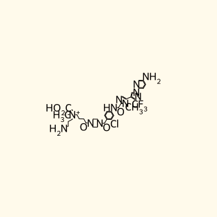 Cn1c(-c2cn(-c3ccc(N)cn3)nc2C(F)(F)F)cnc1C(=O)Nc1ccc(C(=O)N2CCN(C(=O)CCC[N+](C)(CCCN)CC(=O)O)CC2)c(Cl)c1